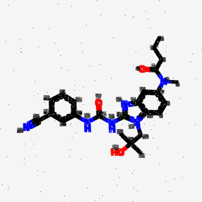 CCCC(=O)N(C)c1ccc2c(c1)nc(NC(=O)Nc1cccc(C#N)c1)n2CC(C)(C)O